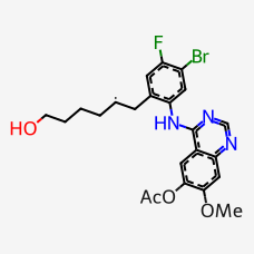 COc1cc2ncnc(Nc3cc(Br)c(F)cc3C[CH]CCCCO)c2cc1OC(C)=O